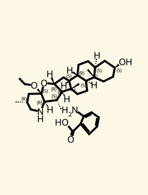 CCO[C@]12C[C@@H](C)CN[C@@H]1[C@@H](C)[C@H]1[C@@H](C[C@H]3[C@@H]4CC[C@H]5C[C@@H](O)CC[C@]5(C)[C@H]4CC[C@]13C)O2.Nc1ccccc1C(=O)O